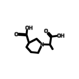 CC(C(=O)O)N1CCCC(C(=O)O)C1